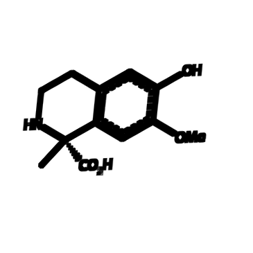 COc1cc2c(cc1O)CCN[C@@]2(C)C(=O)O